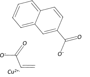 C=CC(=O)[O-].O=C([O-])c1ccc2ccccc2c1.[Cu+2]